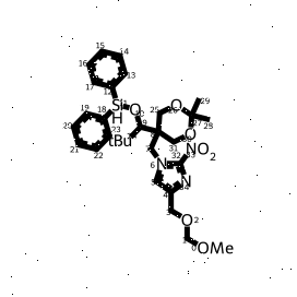 COCOCc1cn(CC2(C(O[SiH](c3ccccc3)c3ccccc3)C(C)(C)C)COC(C)(C)OC2)c([N+](=O)[O-])n1